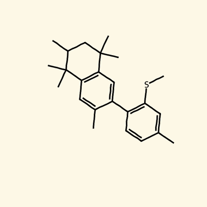 CSc1cc(C)ccc1-c1cc2c(cc1C)C(C)(C)C(C)CC2(C)C